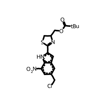 CC(C)(C)C(=O)OCC1CSC(c2cc3cc(CCl)cc([N+](=O)[O-])c3[nH]2)=N1